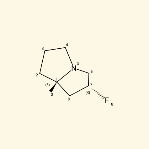 C[C@@]12CCCN1C[C@H](F)C2